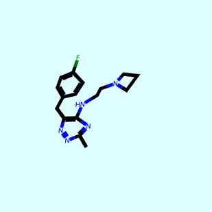 Cc1nnc(Cc2ccc(F)cc2)c(NCCN2CCC2)n1